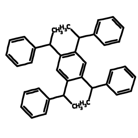 CC(c1ccccc1)c1cc(C(C)c2ccccc2)c(C(C)c2ccccc2)cc1C(C)c1ccccc1